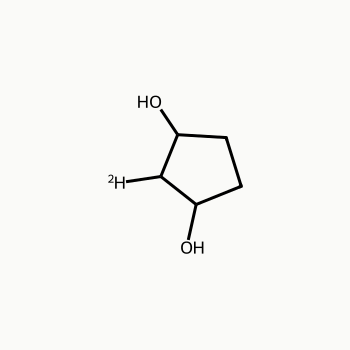 [2H]C1C(O)CCC1O